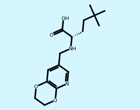 CC(C)(C)CC[C@H](NCc1cnc2c(c1)OCCO2)C(=O)O